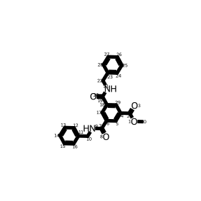 COC(=O)c1cc(C(=O)NCc2ccccc2)cc(C(=O)NCc2ccccc2)c1